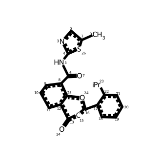 Cc1cnc(NC(=O)c2cccc3c(=O)cc(-c4ccccc4C(C)C)oc23)s1